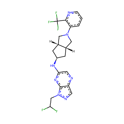 FC(F)Cn1ncc2ncc(N[C@H]3C[C@@H]4CN(c5cccnc5C(F)(F)F)C[C@@H]4C3)nc21